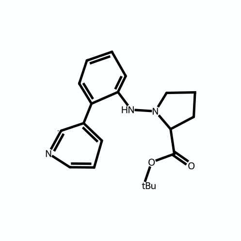 CC(C)(C)OC(=O)C1CCCN1Nc1ccccc1-c1[c]nccc1